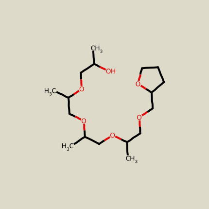 CC(O)COC(C)COC(C)COC(C)COCC1CCCO1